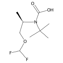 C[C@H](COC(F)F)N(C(=O)O)C(C)(C)C